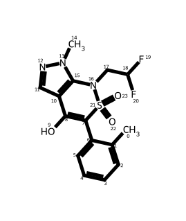 Cc1ccccc1C1=C(O)c2cnn(C)c2N(CC(F)F)S1(=O)=O